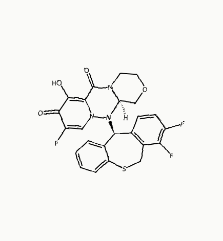 O=C1c2c(O)c(=O)c(F)cn2N([C@@H]2c3ccccc3SCc3c2ccc(F)c3F)[C@@H]2COCCN12